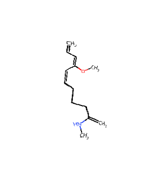 C=C/C=C(\C=C/CCCC(=C)NC)OC